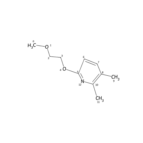 COCCOc1ccc(C)c(C)n1